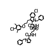 Cc1cc(OCCCc2c(C(=O)NS(=O)(=O)CCNC(=O)c3cccn3Cc3ccccc3)n(Cc3ccccc3)c3cc(Cl)ccc23)cc(C)c1Cl